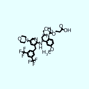 CC[C@@H]1C[C@H](Nc2ncc(N3CCOCC3)cc2Cc2cc(C(F)(F)F)cc(C(F)(F)F)c2)c2cc(OC)ccc2N1C(=O)OCCC(=O)O